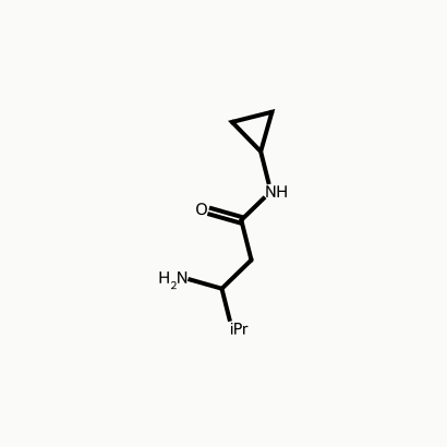 CC(C)C(N)CC(=O)NC1CC1